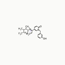 C=C/C(=N\C(C)C(C)C(C)CC(F)(F)F)c1ccc(=O)n(Cc2cccc(O)c2)c1